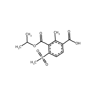 Cc1c(C(=O)O)ccc(S(C)(=O)=O)c1C(=O)OC(C)C